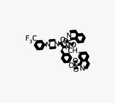 CN([C@@H](Cc1ccc(OS(=O)(=O)c2nccc3ccccc23)cc1)C(=O)N1CCN(c2cccc(C(F)(F)F)c2)CC1)S(=O)(=O)c1nccc2ccccc12